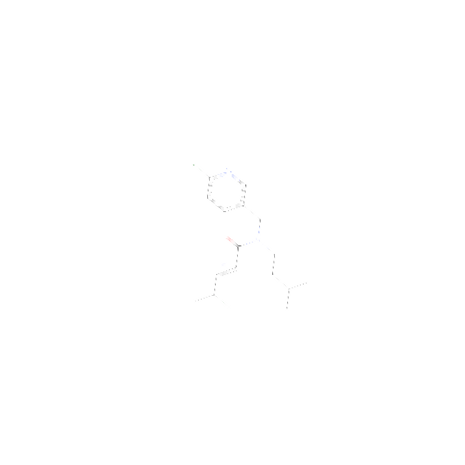 CC(Cl)/C=C/C(=O)N(CCC(C)C)Cc1ccc(Cl)nc1